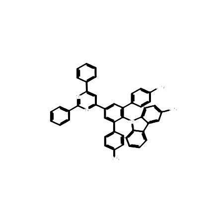 N#Cc1ccc(-c2cc(-c3cc(-c4ccccc4)nc(-c4ccccc4)n3)cc(-c3ccc(C#N)cc3)c2-n2c3ccccc3c3cc(C#N)ccc32)cc1